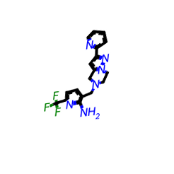 Nc1nc(C(F)(F)F)ccc1CN1CCn2nc(-c3ccccn3)cc2C1